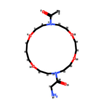 CCC(=O)N1CCOCCCOCCN(C(=O)CN)CCOCCOCC1